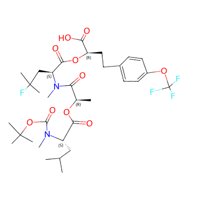 CC(C)C[C@@H](C(=O)O[C@H](C)C(=O)N(C)[C@@H](CC(C)(C)F)C(=O)O[C@H](CCc1ccc(OC(F)(F)F)cc1)C(=O)O)N(C)C(=O)OC(C)(C)C